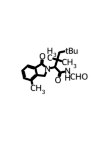 Cc1cccc2c1CN(C(C(=O)NC=O)C(C)(C)CC(C)(C)C)C2=O